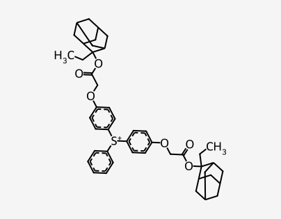 CCC1(OC(=O)COc2ccc([S+](c3ccccc3)c3ccc(OCC(=O)OC4(CC)C5CC6CC(C5)CC4C6)cc3)cc2)C2CC3CC(C2)CC1C3